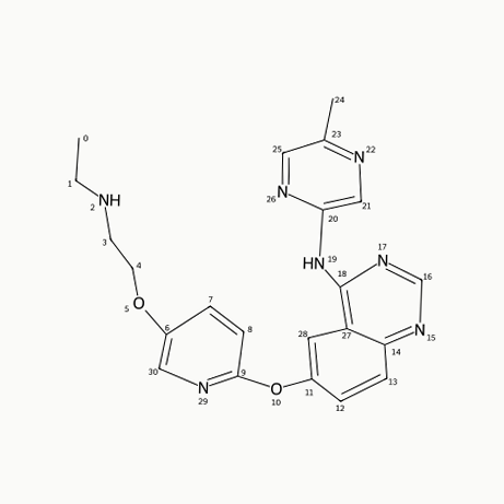 CCNCCOc1ccc(Oc2ccc3ncnc(Nc4cnc(C)cn4)c3c2)nc1